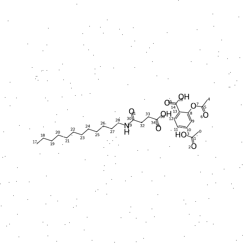 CC(=O)O.CC(=O)Oc1ccccc1C(=O)O.CCCCCCCCCCCCNC(=O)CCC(=O)O